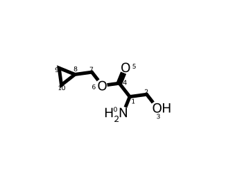 NC(CO)C(=O)OCC1CC1